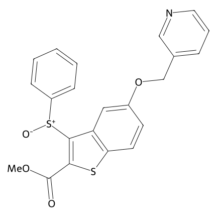 COC(=O)c1sc2ccc(OCc3cccnc3)cc2c1[S+]([O-])c1ccccc1